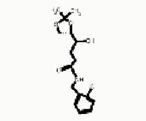 CC1(C)OC[C@@H]([C@@H](O)CCC(=O)NCc2ccccc2Cl)O1